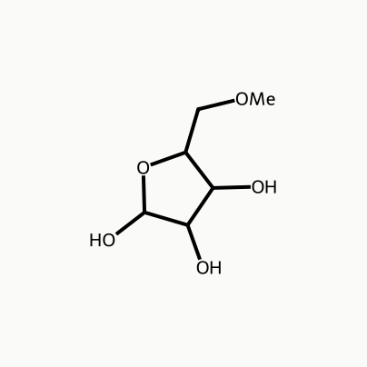 COCC1OC(O)C(O)C1O